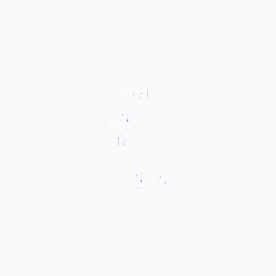 O=C(/N=c1/scc(C(=O)O)n1Cc1ccccc1)c1c[nH]c2ncccc12